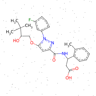 Cc1ccccc1C(CC(=O)O)NC(=O)c1cc(OCC(O)C(C)(C)C)n(-c2cccc(F)c2)n1